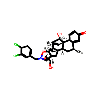 C=C[C@]12[C@@H](C[C@H](C)C3=CC(=O)C=C[C@@]31C)[C@]1(C=C)C[C@H]3CN(CC4=CCC(Cl)C(Cl)=C4)O[C@@]3(C(=O)CO)[C@@]1(C)C[C@@H]2O